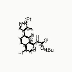 CCn1ncc(-c2ccc3c(I)cnc(NC(=O)OC(C)(C)C)c3c2F)c1C